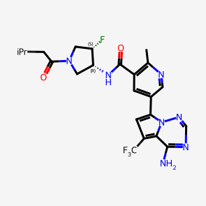 Cc1ncc(-c2cc(C(F)(F)F)c3c(N)ncnn23)cc1C(=O)N[C@@H]1CN(C(=O)CC(C)C)C[C@@H]1F